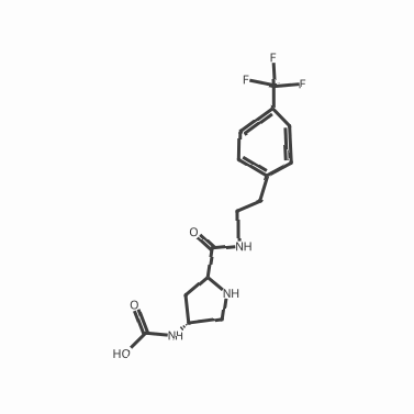 O=C(O)N[C@H]1CNC(C(=O)NCCc2ccc(C(F)(F)F)cc2)C1